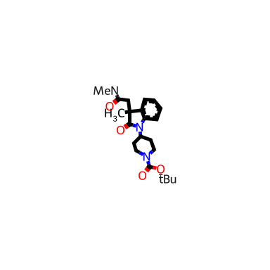 CNC(=O)CC1(C)C(=O)N(C2CCN(C(=O)OC(C)(C)C)CC2)c2ccccc21